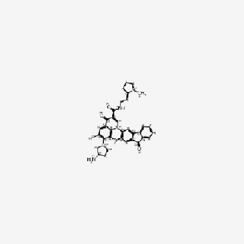 CN1CCCC1CCNC(=O)c1cn2c3cc4c(cc3oc3c(N5CC[C@H](N)C5)c(F)cc(c1=O)c32)c(=O)c1ccccc14